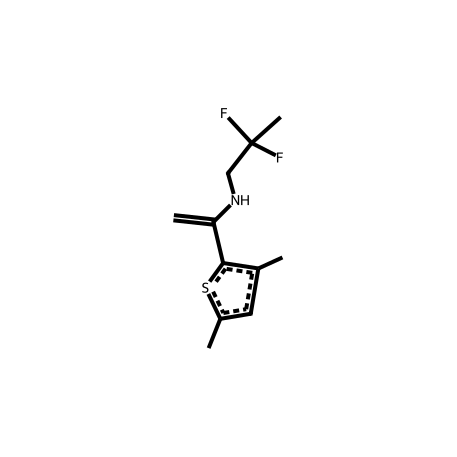 C=C(NCC(C)(F)F)c1sc(C)cc1C